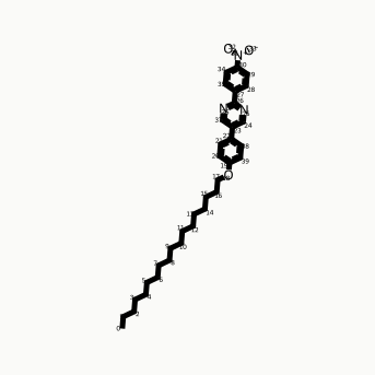 CCCCCCCCCCCCCCCCCCOc1ccc(-c2cnc(-c3ccc([N+](=O)[O-])cc3)nc2)cc1